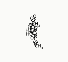 CN1CCN(C(=O)O[C@H]2CC[C@]3(C)[C@H]4CC[C@]5(C)[C@@H](c6ccc(=O)oc6)CC[C@]5(O)[C@@H]4CC[C@]3(O)C2)CC1